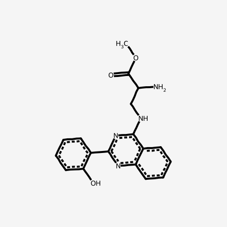 COC(=O)C(N)CNc1nc(-c2ccccc2O)nc2ccccc12